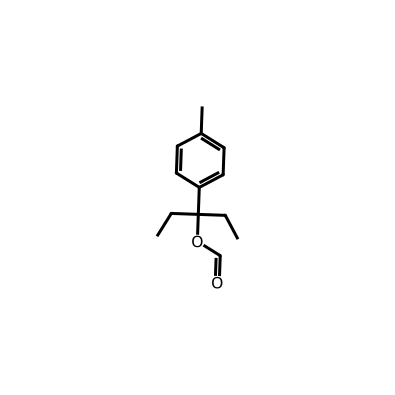 CCC(CC)(OC=O)c1ccc(C)cc1